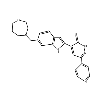 O=c1[nH]nc(-c2ccncc2)cc1-c1cc2ccc(CN3CCCOCC3)cc2[nH]1